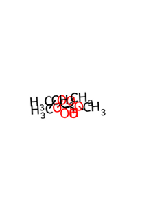 CCOC(=O)/C(OC)=C(\O)C(=O)OC(C)(C)C